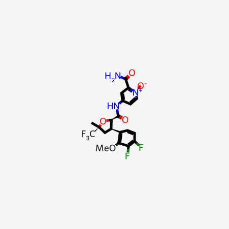 COc1c([C@H]2C[C@](C)(C(F)(F)F)O[C@H]2C(=O)Nc2cc[n+]([O-])c(C(N)=O)c2)ccc(F)c1F